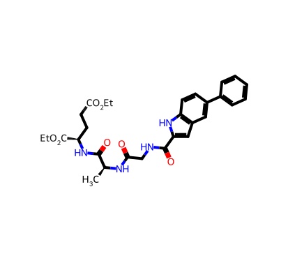 CCOC(=O)CC[C@@H](NC(=O)[C@H](C)NC(=O)CNC(=O)c1cc2cc(-c3ccccc3)ccc2[nH]1)C(=O)OCC